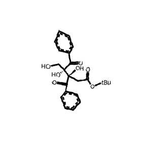 CC(C)(C)OC(=O)C[C@](O)(C(=O)c1ccccc1)[C@@](O)(CO)C(=O)c1ccccc1